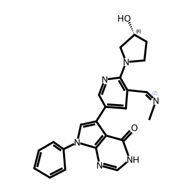 C/N=C\c1cc(-c2cn(-c3ccccc3)c3nc[nH]c(=O)c23)cnc1N1CC[C@@H](O)C1